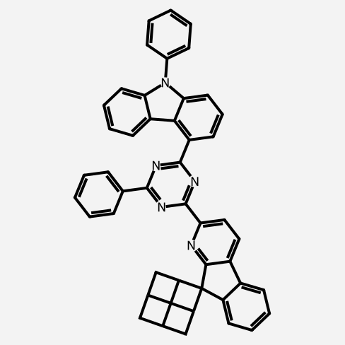 c1ccc(-c2nc(-c3ccc4c(n3)C3(c5ccccc5-4)C4CC5CC6CC3C564)nc(-c3cccc4c3c3ccccc3n4-c3ccccc3)n2)cc1